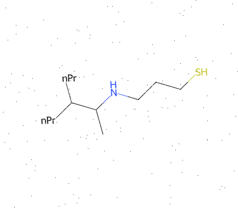 CCCC(CCC)C(C)NCCCS